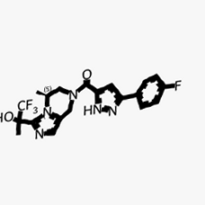 C[C@H]1CN(C(=O)c2cc(-c3ccc(F)cc3)n[nH]2)Cc2cnc(C(C)(O)C(F)(F)F)n21